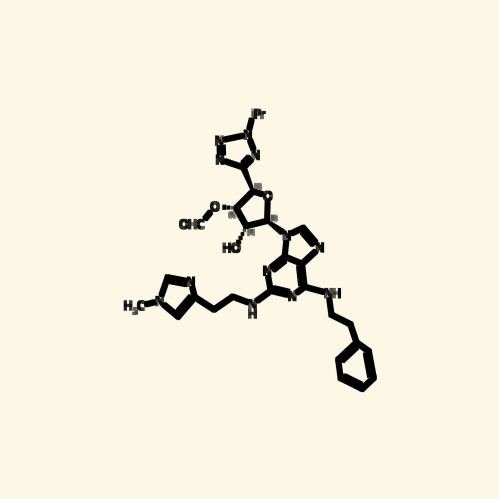 CC(C)n1nnc([C@H]2O[C@@H](n3cnc4c(NCCc5ccccc5)nc(NCCc5cn(C)cn5)nc43)[C@H](O)[C@@H]2OC=O)n1